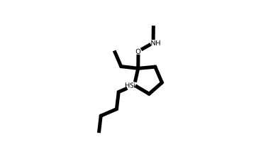 CCCC[SiH]1CCCC1(CC)ONC